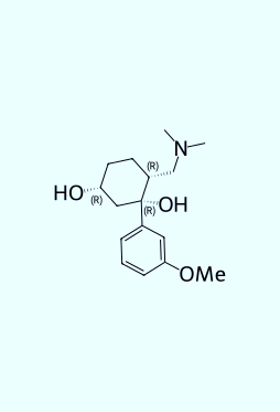 COc1cccc([C@@]2(O)C[C@H](O)CC[C@@H]2CN(C)C)c1